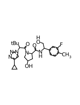 Cc1ccc(C(CO)NC(=O)C2CC(O)CN2C(=O)C(n2cc(C3CC3)nn2)C(C)(C)C)cc1F